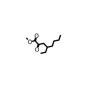 CCCCC(CC)CC(=O)C(=O)OC